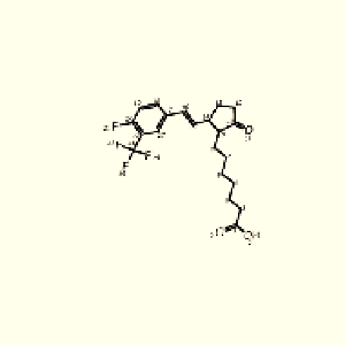 O=C(O)CCCCCCC1C(=O)CCC1C=Cc1ccc(F)c(C(F)(F)F)c1